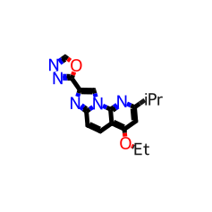 CCOc1cc(C(C)C)nc2c1ccc1nc(-c3nnco3)cn12